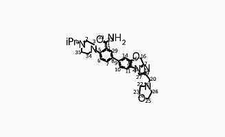 CC(C)N1CCN(c2ccc(-c3ccc4c(c3)OCc3nc(CN5CCOCC5)cn3-4)cc2C(N)=O)CC1